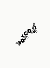 CN(c1cccc(N2CCC[C@@H](C(=O)N(Cc3ccc(-c4cn[nH]c4)cc3)C3CC3)C2)c1)C(C)(C)C(=O)N1CCNCC1